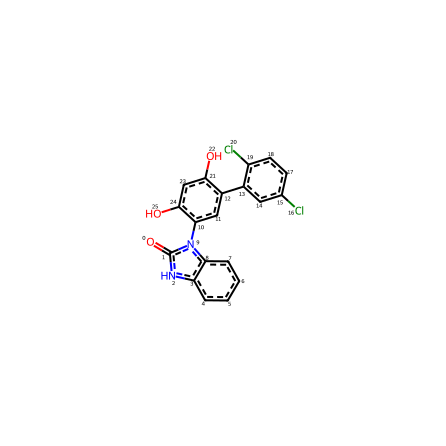 O=c1[nH]c2ccccc2n1-c1cc(-c2cc(Cl)ccc2Cl)c(O)cc1O